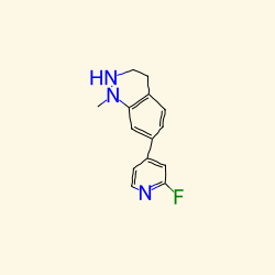 CN1NCCc2ccc(-c3ccnc(F)c3)cc21